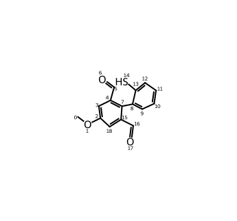 COc1cc(C=O)c(-c2ccccc2S)c(C=O)c1